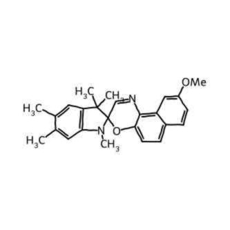 COc1ccc2ccc3c(c2c1)N=CC1(O3)N(C)c2cc(C)c(C)cc2C1(C)C